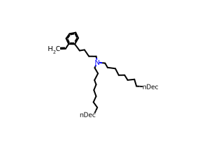 C=Cc1ccccc1CCCCN(CCCCCCCCCCCCCCCCCC)CCCCCCCCCCCCCCCCCC